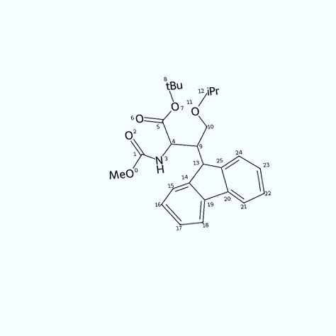 COC(=O)NC(C(=O)OC(C)(C)C)C(COC(C)C)C1c2ccccc2-c2ccccc21